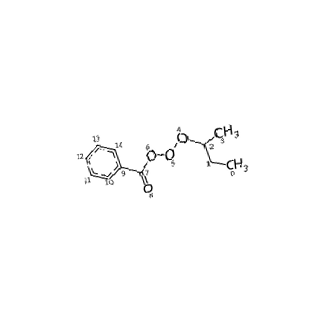 CCC(C)OOOC(=O)c1ccccc1